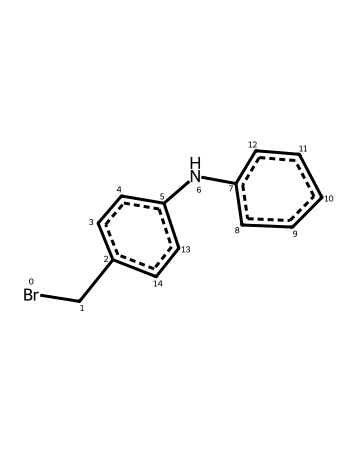 BrCc1ccc(Nc2ccccc2)cc1